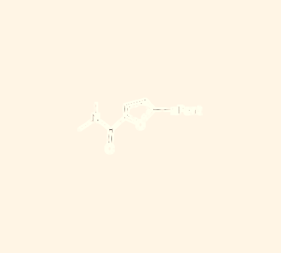 CCCCCc1ccc(C(=O)N(C)C)o1